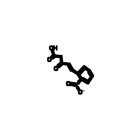 O=C(O)CC(=O)C=Cc1ccccc1[N+](=O)[O-]